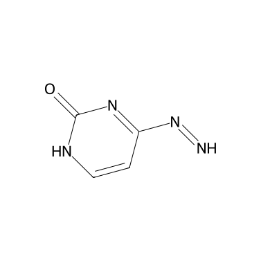 N=Nc1cc[nH]c(=O)n1